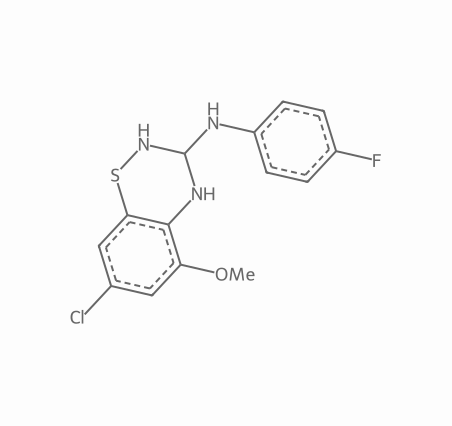 COc1cc(Cl)cc2c1NC(Nc1ccc(F)cc1)NS2